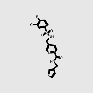 O=C(NCc1ccsc1)c1ccc(CNS(=O)(=O)c2ccc(F)c(Cl)c2)cn1